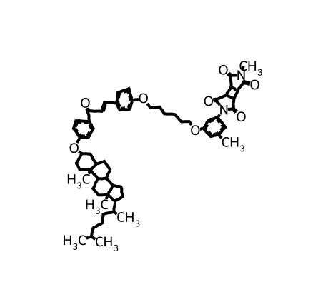 Cc1cc(OCCCCCCOc2ccc(/C=C/C(=O)c3ccc(OC4CCC5(C)C(CCC6C5CCC5(C)C(C(C)CCCC(C)C)CCC65)C4)cc3)cc2)cc(N2C(=O)C3C4C(=O)N(C)C(=O)C4C3C2=O)c1